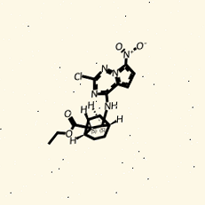 CCOC(=O)[C@H]1[C@H]2CC[C@H](CC2)[C@@H]1Nc1nc(Cl)nn2c([N+](=O)[O-])ccc12